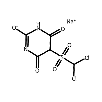 O=C1N=C([O-])NC(=O)C1S(=O)(=O)C(Cl)Cl.[Na+]